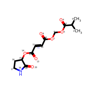 CC(C)C(=O)OCOC(=O)/C=C/C(=O)OC1CCNC1=O